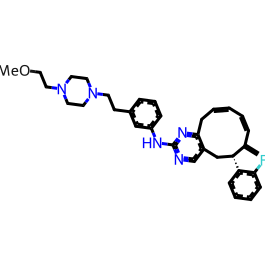 C=C1/C=C\C=C/Cc2nc(Nc3cccc(CCN4CCN(CCOC)CC4)c3)ncc2C[C@H]1c1ccccc1F